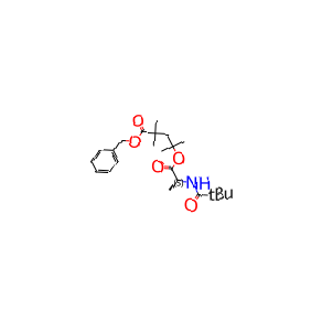 C[C@H](NC(=O)C(C)(C)C)C(=O)OC(C)(C)CC(C)(C)C(=O)OCc1ccccc1